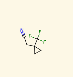 N#CCC1(C(F)(F)F)CC1